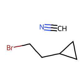 BrCCC1CC1.C#N